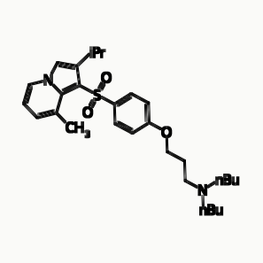 CCCCN(CCCC)CCCOc1ccc(S(=O)(=O)c2c(C(C)C)cn3cccc(C)c23)cc1